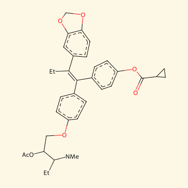 CCC(=C(c1ccc(OCC(OC(C)=O)C(CC)NC)cc1)c1ccc(OC(=O)C2CC2)cc1)c1ccc2c(c1)OCO2